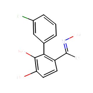 CCC(=NO)c1ccc(O)c(O)c1-c1cccc(Br)c1